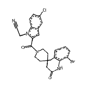 N#CCn1c(C(=O)N2CCC3(CC2)CC(=O)Nc2c(Br)cccc23)cc2cc(Cl)ccc21